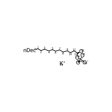 CCCCCCCCCCCCCCCCCCCCCC(=O)OS(=O)(=O)[O-].[K+]